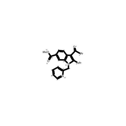 CCCc1c(C(=O)C(C)C)c2ccc(C(=O)OC)cc2n1Cc1ccccn1